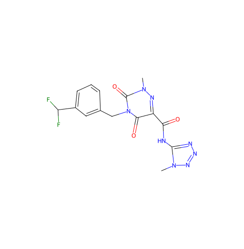 Cn1nnnc1NC(=O)c1nn(C)c(=O)n(Cc2cccc(C(F)F)c2)c1=O